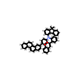 CC1(C)c2ccccc2-c2c(N(c3ccc(-c4ccc5ccc6c7ccccc7ccc6c5c4)cc3)c3ccccc3-c3ccc4ccccc4c3)cccc21